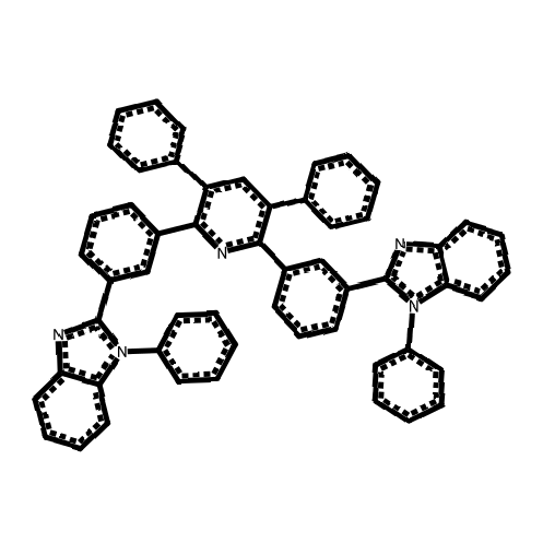 c1ccc(-c2cc(-c3ccccc3)c(-c3cccc(-c4nc5ccccc5n4-c4ccccc4)c3)nc2-c2cccc(-c3nc4ccccc4n3-c3ccccc3)c2)cc1